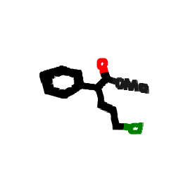 COC(=O)C(CCCCl)c1ccccc1